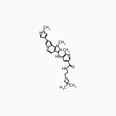 Cc1ncc(C(=O)NCCN2CC(C)(C)C2)cc1Nc1nn(C)c2c1cnn1cc(-c3cnn(C)c3)cc21